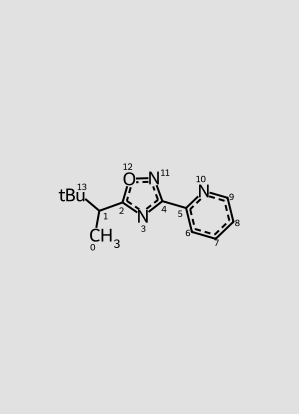 CC(c1nc(-c2ccccn2)no1)C(C)(C)C